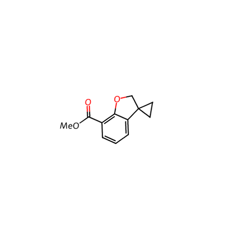 COC(=O)c1cccc2c1OCC21CC1